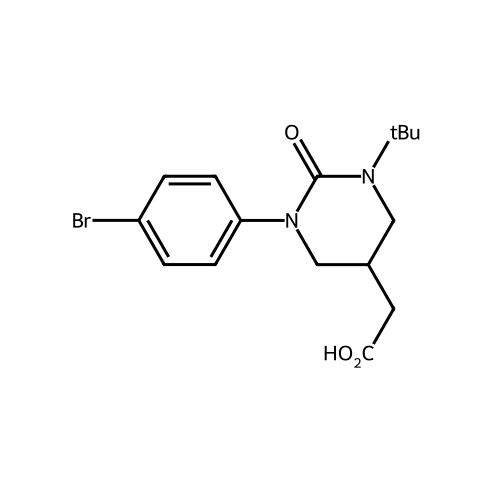 CC(C)(C)N1CC(CC(=O)O)CN(c2ccc(Br)cc2)C1=O